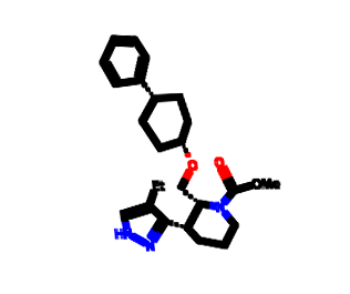 CCc1c[nH]nc1[C@H]1CCCN(C(=O)OC)[C@H]1CO[C@H]1CC[C@@H](c2ccccc2)CC1